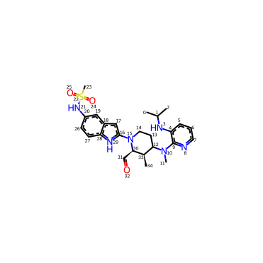 CC(C)Nc1cccnc1N(C)C1CCN(c2cc3cc(NS(C)(=O)=O)ccc3[nH]2)[C@H](C=O)[C@@H]1C